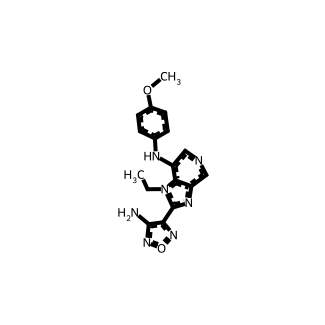 CCn1c(-c2nonc2N)nc2cncc(Nc3ccc(OC)cc3)c21